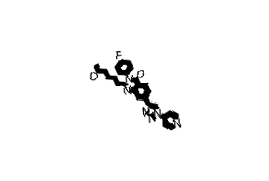 CC(=O)CCCCc1nc2cc(-c3cn(-c4ccncc4)nn3)ccc2c(=O)n1-c1ccc(F)cc1